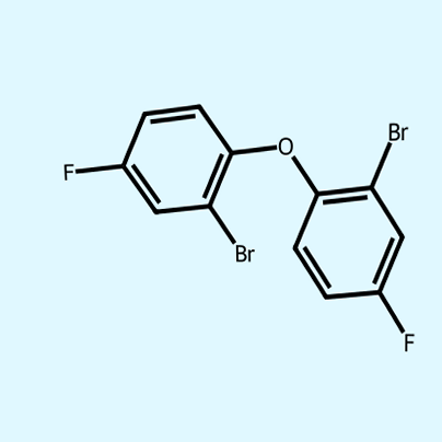 Fc1ccc(Oc2ccc(F)cc2Br)c(Br)c1